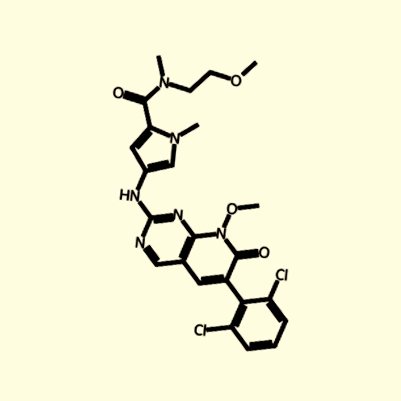 COCCN(C)C(=O)c1cc(Nc2ncc3cc(-c4c(Cl)cccc4Cl)c(=O)n(OC)c3n2)cn1C